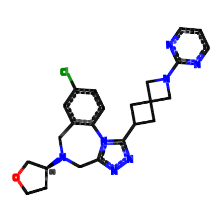 Clc1ccc2c(c1)CN([C@H]1CCOC1)Cc1nnc(C3CC4(C3)CN(c3ncccn3)C4)n1-2